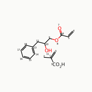 C=C(C)C(=O)O.C=CC(=O)OCC(O)Cc1ccccc1